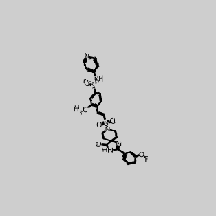 Cc1cc([S+]([O-])Nc2ccncc2)ccc1/C=C/S(=O)(=O)N1CCC2(CC1)N=C(c1cccc(OF)c1)NC2=O